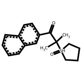 CC(C)(C(=O)c1ccc2ccccc2c1)[SH]1(=O)CCCC1